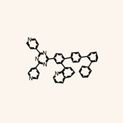 c1ccc(-c2ccccc2-c2ccc(-c3ccc(-c4nc(-c5ccncc5)nc(-c5ccncc5)n4)cc3-c3cccc4cccnc34)cc2)cc1